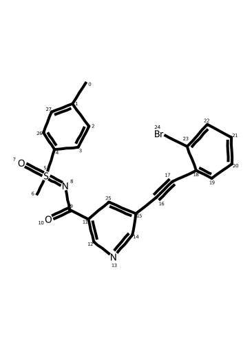 Cc1ccc(S(C)(=O)=NC(=O)c2cncc(C#Cc3ccccc3Br)c2)cc1